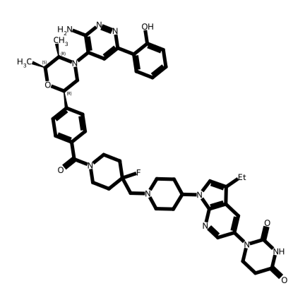 CCc1cn(C2CCN(CC3(F)CCN(C(=O)c4ccc([C@@H]5CN(c6cc(-c7ccccc7O)nnc6N)[C@H](C)[C@H](C)O5)cc4)CC3)CC2)c2ncc(N3CCC(=O)NC3=O)cc12